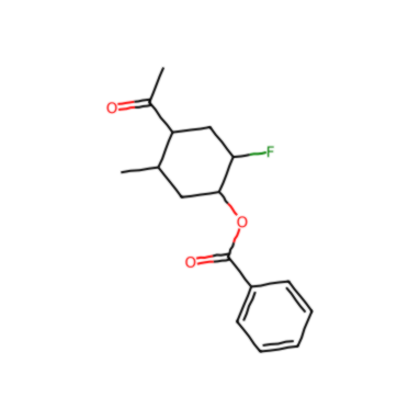 CC(=O)C1CC(F)C(OC(=O)c2ccccc2)CC1C